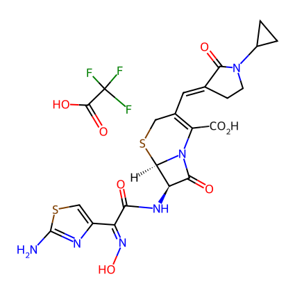 Nc1nc(C(=NO)C(=O)N[C@@H]2C(=O)N3C(C(=O)O)=C(C=C4CCN(C5CC5)C4=O)CS[C@H]23)cs1.O=C(O)C(F)(F)F